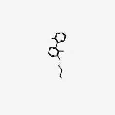 Cc1ccccc1-c1cccc(OCCCCl)c1C